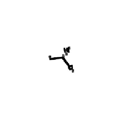 CCCl.[Hf]